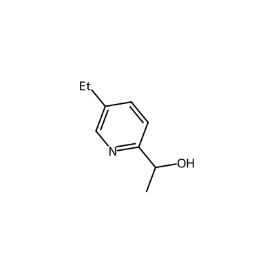 CCc1ccc(C(C)O)nc1